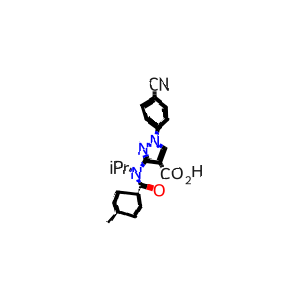 CC(C)N(c1nn(-c2ccc(C#N)cc2)cc1C(=O)O)C(=O)[C@H]1CC[C@H](C)CC1